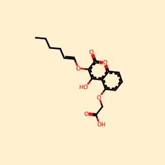 CCCCC=COc1c(O)c2c(OCC(=O)O)cccc2oc1=O